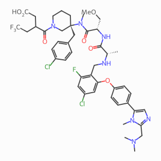 COC[C@H](NC(=O)[C@H](C)NCc1c(F)cc(Cl)cc1Oc1ccc(-c2cnc(CN(C)C)n2C)cc1)C(=O)N(C)[C@@]1(Cc2ccc(Cl)cc2)CCCN(C(=O)C(CC(=O)O)CC(F)(F)F)C1